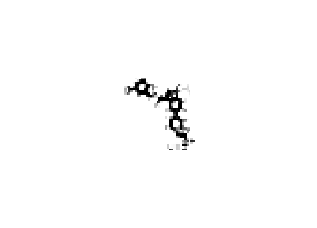 Cn1cc(C(=O)NCc2cccc(Cl)c2)c2cc(-c3ccn4nc(NC=O)nc4c3)ccc21